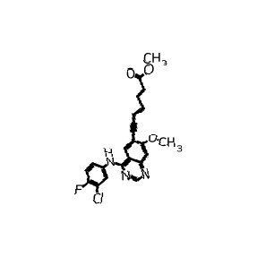 COC(=O)CCCCC#Cc1cc2c(Nc3ccc(F)c(Cl)c3)ncnc2cc1OC